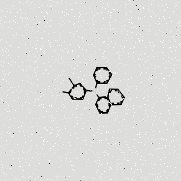 Cc1cc(N(c2ccccc2)c2cccc3ccccc23)ccc1Br